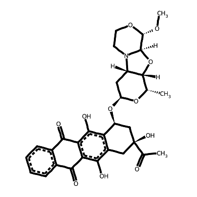 CO[C@H]1OCCN2[C@@H]1O[C@@H]1[C@H](C)O[C@@H](O[C@H]3C[C@](O)(C(C)=O)Cc4c(O)c5c(c(O)c43)C(=O)c3ccccc3C5=O)C[C@@H]12